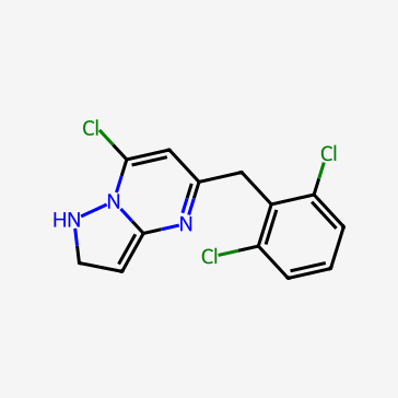 ClC1=CC(Cc2c(Cl)cccc2Cl)=NC2=CCNN12